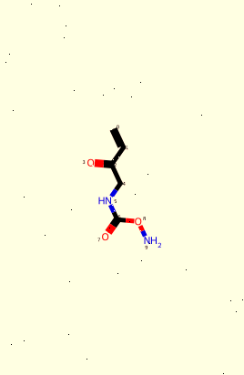 C=CC(=O)CNC(=O)ON